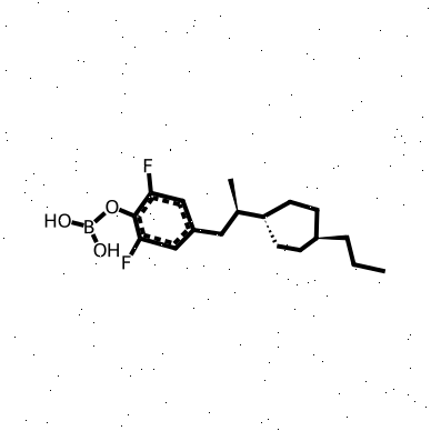 CCC[C@H]1CC[C@H]([C@H](C)Cc2cc(F)c(OB(O)O)c(F)c2)CC1